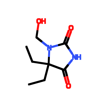 CCC1(CC)C(=O)NC(=O)N1CO